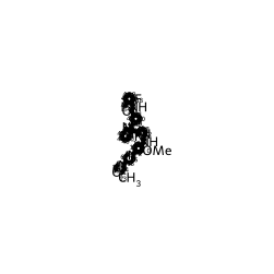 COc1cc(N2CCC(N3CCO[C@@H](C)C3)CC2)ccc1Nc1nccc(-c2c(-c3cccc(C(=O)Nc4c(F)cccc4F)c3)nc3ccccn23)n1